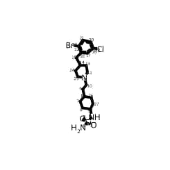 NS(=O)(=O)NC1CCC(CCN2CCC(Cc3cc(Cl)ccc3Br)CC2)CC1